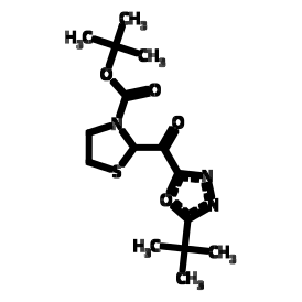 CC(C)(C)OC(=O)N1CCSC1C(=O)c1nnc(C(C)(C)C)o1